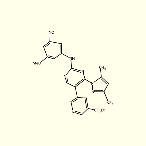 [C-]#[N+]c1cc(Nc2ncc(-c3cncc(C(=O)OCC)c3)c(-n3nc(C(F)(F)F)cc3C)n2)cc(OC)c1